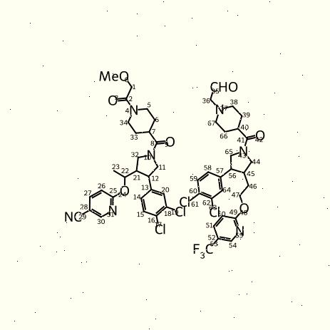 COCC(=O)N1CCC(C(=O)N2CC(c3ccc(Cl)c(Cl)c3)C(C(C)Oc3ccc(C#N)cn3)C2)CC1.O=CCN1CCC(C(=O)N2CC(CCOc3ccc(C(F)(F)F)cn3)C(c3ccc(Cl)c(Cl)c3)C2)CC1